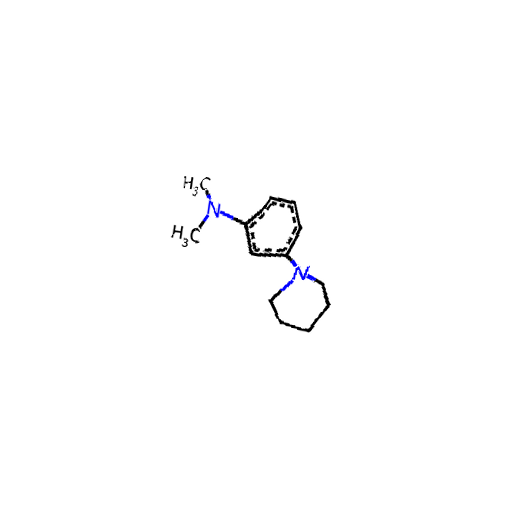 CN(C)c1cccc(N2CCCCC2)c1